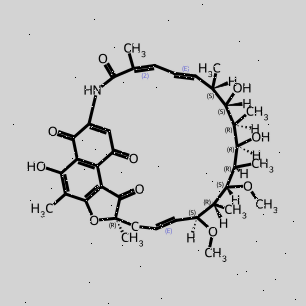 CO[C@H]1[C@H](C)[C@H](O)[C@H](C)[C@@H](O)[C@@H](C)/C=C/C=C(/C)C(=O)NC2=CC(=O)c3c(c(O)c(C)c4c3C(=O)[C@@](C)(C/C=C/[C@H](OC)[C@H]1C)O4)C2=O